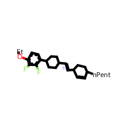 CCCCCC1C=CC(/C=C/C2CCC(c3ccc(OCC)c(F)c3F)CC2)CC1